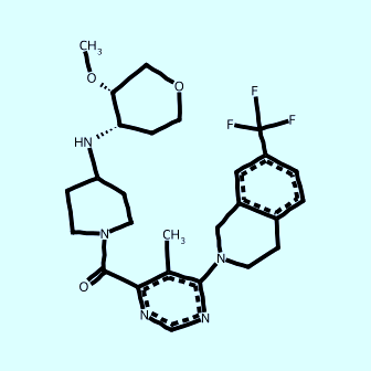 CO[C@@H]1COCC[C@@H]1NC1CCN(C(=O)c2ncnc(N3CCc4ccc(C(F)(F)F)cc4C3)c2C)CC1